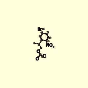 CC(COC(=O)Cl)c1cc(Br)ccc1[N+](=O)[O-]